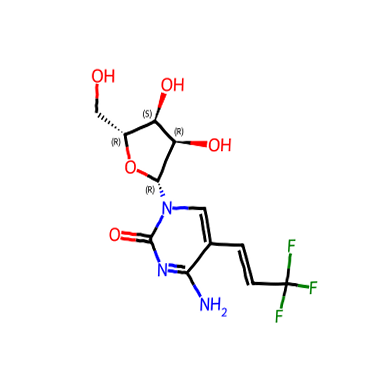 Nc1nc(=O)n([C@@H]2O[C@H](CO)[C@@H](O)[C@H]2O)cc1C=CC(F)(F)F